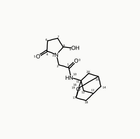 O=C(CN1C(=O)CCC1O)NC12CC3CC(CC(C3)O1)C2